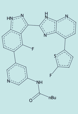 CCCCC(=O)Nc1cncc(-c2ccc3[nH]nc(-c4nc5c(-c6ccc(F)s6)ccnc5[nH]4)c3c2F)c1